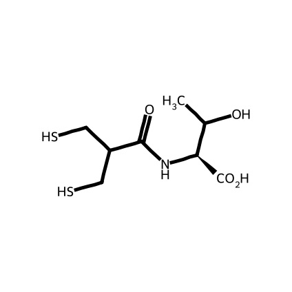 CC(O)[C@H](NC(=O)C(CS)CS)C(=O)O